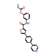 CCC(=O)Oc1cccc(NC(=O)c2cc(-c3ccc(-c4ccncc4)cc3)cs2)c1